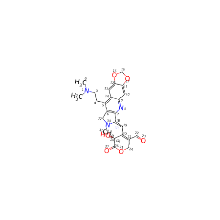 CN(C)CCc1c2c(nc3cc4c(cc13)OCO4)/C(=C/C1=C(C=O)COC(=O)[C@H]1O)N(C)C2